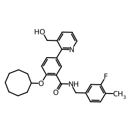 Cc1ccc(CNC(=O)c2cc(-c3ncccc3CO)ccc2OC2CCCCCCC2)cc1F